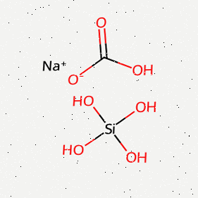 O=C([O-])O.O[Si](O)(O)O.[Na+]